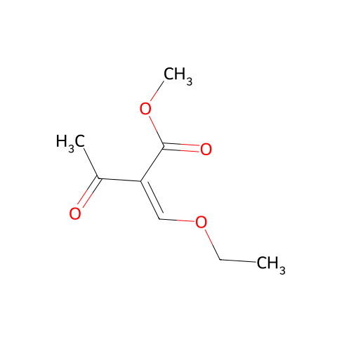 CCOC=C(C(C)=O)C(=O)OC